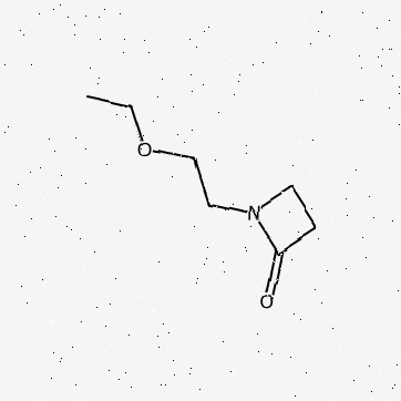 CCOCCN1CCC1=O